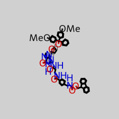 COc1ccc(C(OC[C@@H]2CC[C@H](n3cnc4c(=O)[nH]c(NC(=O)CCNC(=O)c5ccc(CNC(=O)OCC6c7ccccc7-c7ccccc76)cc5)nc43)O2)(c2ccccc2)c2ccc(OC)cc2)cc1